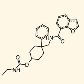 CCNC(=O)OC1CCC(CNC(=O)c2cccc3ccoc23)(c2ccccc2)CC1